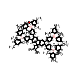 Cc1ccc(B(c2ccc(-c3cc4c(cc3-c3ccc(B(c5c(C)cc(C)cc5C)c5c(C)cc(C)cc5C)cc3)C(CCC(C)C)(CCC(C)C)c3cc(-c5ccc(B(c6c(C)cc(C)cc6C)c6c(C)cc(C)cc6C)cc5)c(-c5ccc(B(c6c(C)cc(C)cc6C)c6c(C)cc(C)cc6C)cc5)cc3-4)cc2)c2c(C)cc(C)cc2C)c(C)c1